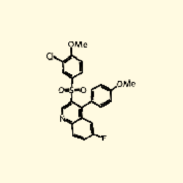 COc1ccc(-c2c(S(=O)(=O)c3ccc(OC)c(Cl)c3)cnc3ccc(F)cc23)cc1